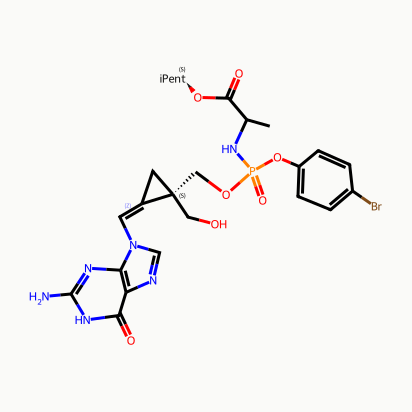 CCC[C@H](C)OC(=O)C(C)NP(=O)(OC[C@@]1(CO)C/C1=C/n1cnc2c(=O)[nH]c(N)nc21)Oc1ccc(Br)cc1